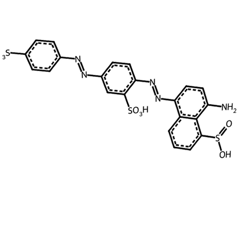 Nc1ccc(/N=N/c2ccc(/N=N/c3ccc(S(=O)(=O)O)cc3)cc2S(=O)(=O)O)c2cccc(S(=O)O)c12